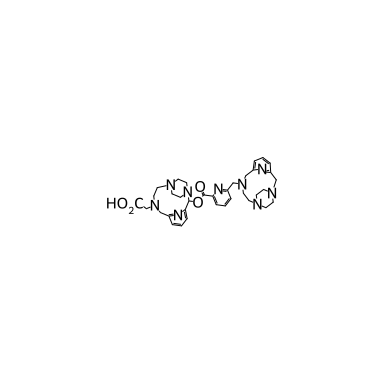 O=C(O)CN1CCN2CCN(CC2)C(OC(=O)c2cccc(CN3CCN4CCN(CC4)Cc4cccc(n4)C3)n2)c2cccc(n2)C1